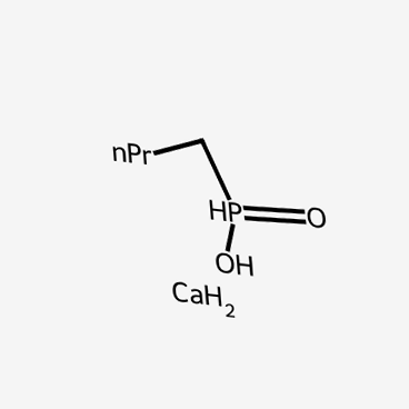 CCCC[PH](=O)O.[CaH2]